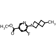 COC(=O)c1cnc(N2CC3(CC(C)C3)C2)c(F)c1